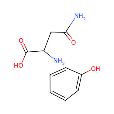 NC(=O)CC(N)C(=O)O.Oc1ccccc1